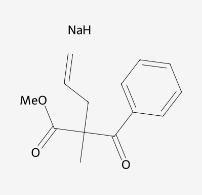 C=CCC(C)(C(=O)OC)C(=O)c1ccccc1.[NaH]